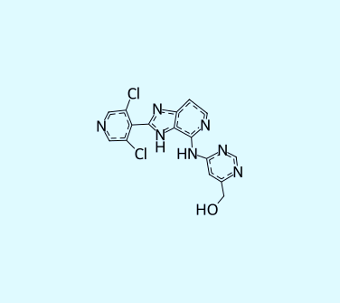 OCc1cc(Nc2nccc3nc(-c4c(Cl)cncc4Cl)[nH]c23)ncn1